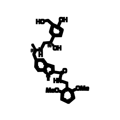 COc1cccc(OC)c1CNC(=O)c1cc2cc(C[C@@H](C)NC[C@@H](O)c3ccc(O)c(CO)c3)ccc2n1C